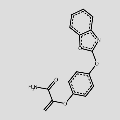 C=C(Oc1ccc(Oc2nc3ccccc3o2)cc1)C(N)=O